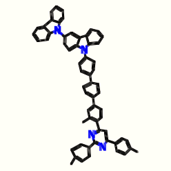 Cc1ccc(-c2cc(-c3ccc(-c4ccc(-c5ccc(-n6c7ccccc7c7cc(-n8c9ccccc9c9ccccc98)ccc76)cc5)cc4)cc3C)nc(-c3ccc(C)cc3)n2)cc1